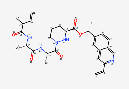 C=Cc1cc2cc([C@@H](C)OC(=O)[C@@H]3CCCN(C(=O)[C@H](C)NC(=O)[C@@H](NC(=O)C(C)C=C)C(C)C)N3)ccc2cn1